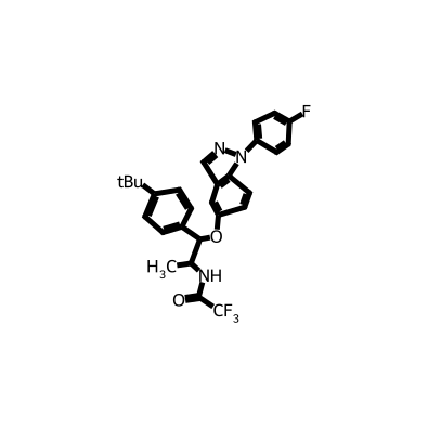 CC(NC(=O)C(F)(F)F)C(Oc1ccc2c(cnn2-c2ccc(F)cc2)c1)c1ccc(C(C)(C)C)cc1